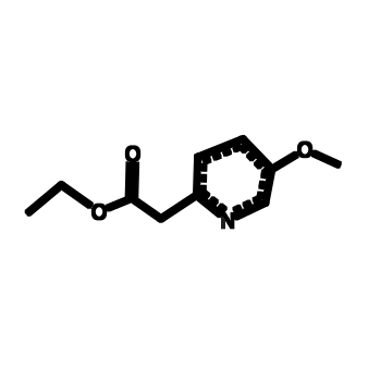 CCOC(=O)Cc1ccc(OC)cn1